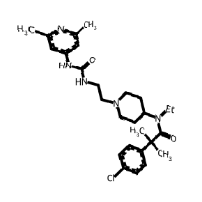 CCN(C(=O)C(C)(C)c1ccc(Cl)cc1)C1CCN(CCNC(=O)Nc2cc(C)nc(C)c2)CC1